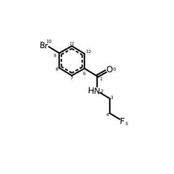 O=C(NCCF)c1ccc(Br)cc1